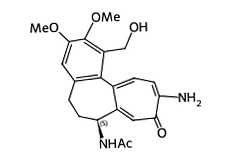 COc1cc2c(c(CO)c1OC)-c1ccc(N)c(=O)cc1[C@@H](NC(C)=O)CC2